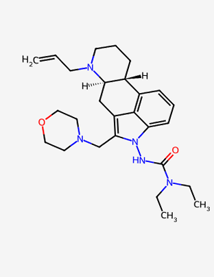 C=CCN1CCC[C@@H]2c3cccc4c3c(c(CN3CCOCC3)n4NC(=O)N(CC)CC)C[C@H]21